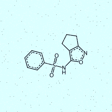 O=S(=O)(Nc1onc2c1CCC2)c1ccccc1